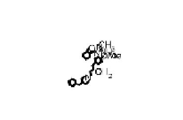 CN=C(N)N(c1cc(CCCCN2CCC(Cc3ccccc3)CC2)ccc1OC)c1occ2ccccc12.O